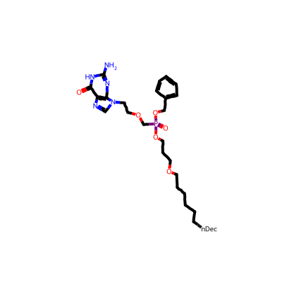 CCCCCCCCCCCCCCCCOCCCOP(=O)(COCCn1cnc2c(=O)[nH]c(N)nc21)OCc1ccccc1